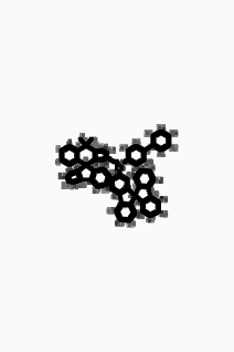 CC1(C)c2ccccc2C2(c3ccccc3-c3ccccc32)c2cc(N(c3ccc(-c4ccccc4)cc3)c3ccc4c(c3)C3(c5ccccc5-c5ccccc53)c3ccccc3-4)ccc21